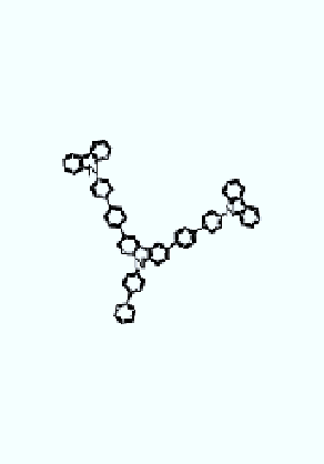 c1ccc(-c2ccc(-n3c4ccc(-c5ccc(-c6ccc(-n7c8ccccc8c8ccccc87)cc6)cc5)cc4c4cc(-c5ccc(-c6ccc(-n7c8ccccc8c8ccccc87)cc6)cc5)ccc43)cc2)cc1